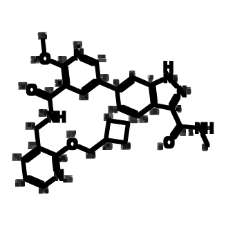 CNC(=O)c1n[nH]c2cc(-c3cnc(OC)c(C(=O)NCc4cccnc4OCC4CCC4)c3)ccc12